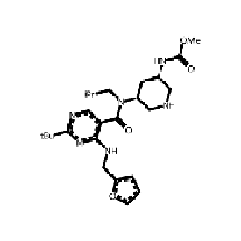 COC(=O)N[C@H]1CNC[C@@H](N(CC(C)C)C(=O)c2cnc(C(C)(C)C)nc2NCc2ccco2)C1